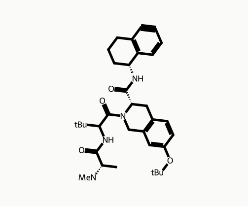 CN[C@@H](C)C(=O)NC(C(=O)N1Cc2cc(OC(C)(C)C)ccc2C[C@H]1C(=O)N[C@@H]1CCCc2c#cccc21)C(C)(C)C